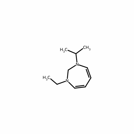 CCN1C=CC=CN(C(C)C)C1